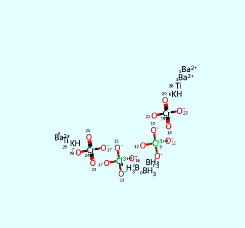 B.B.B.[Ba+2].[Ba+2].[Ba+2].[KH].[KH].[O-][Cl+3]([O-])([O-])[O-].[O-][Cl+3]([O-])([O-])[O-].[O]=[Cr](=[O])([O-])[O-].[O]=[Cr](=[O])([O-])[O-].[Ti].[Ti]